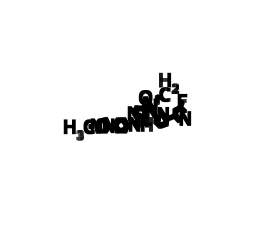 C=CCn1c(=O)c2cnc(Nc3ccc(N4CCN(C)CC4)cc3)nc2n1-c1cccc(-c2cncc(F)c2)n1